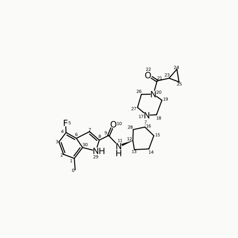 Cc1ccc(F)c2cc(C(=O)N[C@@H]3CCC[C@@H](N4CCN(C(=O)C5CC5)CC4)C3)[nH]c12